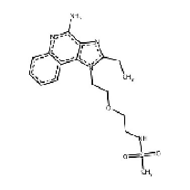 CCc1nc2c(N)nc3ccccc3c2n1CCOCCNS(C)(=O)=O